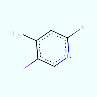 Cc1cc(Br)ncc1I